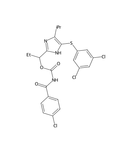 CCC(OC(=O)NC(=O)c1ccc(Cl)cc1)c1nc(C(C)C)c(Sc2cc(Cl)cc(Cl)c2)[nH]1